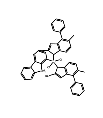 Cc1ccc2c(c1-c1ccccc1)C=C(C(C)(C)C)[CH]2[Zr]([Cl])([Cl])([c]1cccc2c1[SiH2]c1ccccc1-2)[CH]1C(C(C)(C)C)=Cc2c1ccc(C)c2-c1ccccc1